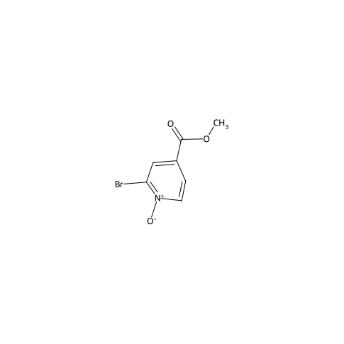 COC(=O)c1cc[n+]([O-])c(Br)c1